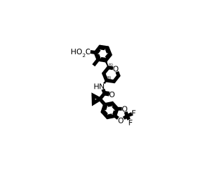 Cc1c(C(=O)O)cccc1[C@@H]1C[C@H](NC(=O)C2(c3ccc4c(c3)OC(F)(F)O4)CC2)CCO1